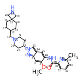 COc1cc2nn(C3CCN(CC4CCC5(CC4)CNC5)CC3)cc2cc1NC(=O)c1cccc(C)n1